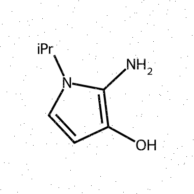 CC(C)n1ccc(O)c1N